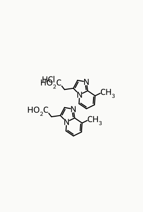 Cc1cccn2c(CC(=O)O)cnc12.Cc1cccn2c(CC(=O)O)cnc12.Cl